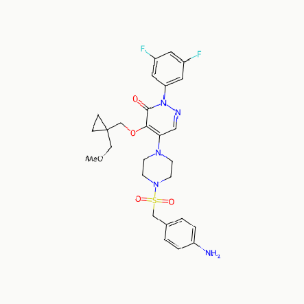 COCC1(COc2c(N3CCN(S(=O)(=O)Cc4ccc(N)cc4)CC3)cnn(-c3cc(F)cc(F)c3)c2=O)CC1